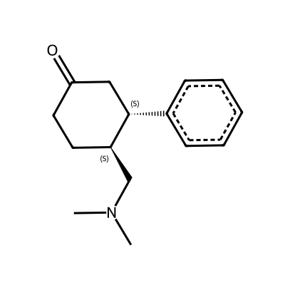 CN(C)C[C@H]1CCC(=O)C[C@@H]1c1ccccc1